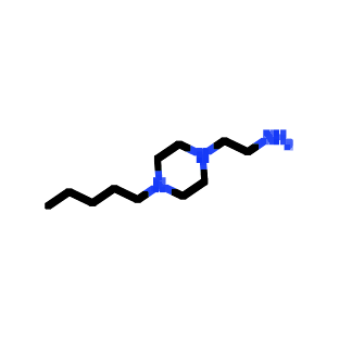 CCCCCN1CCN(CCN)CC1